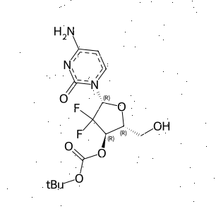 CC(C)(C)OC(=O)O[C@@H]1[C@@H](CO)O[C@@H](n2ccc(N)nc2=O)C1(F)F